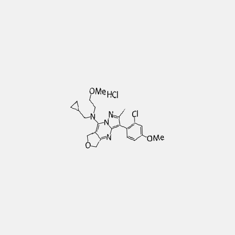 COCCN(CC1CC1)c1c2c(nc3c(-c4ccc(OC)cc4Cl)c(C)nn13)COC2.Cl